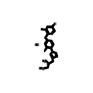 Cl.N[C@H](CC(=O)O)Cc1nnn(-c2ccc(Oc3ncc(Cl)cc3F)cc2F)n1